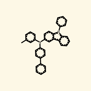 Cc1cccc(N(c2ccc(-c3ccccc3)cc2)c2ccc3c(c2)c2ccccc2n3-c2ccccc2)c1